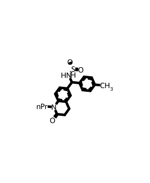 CCCN1C(=O)CCc2cc(C(N[SH](=O)=O)c3ccc(C)cc3)ccc21